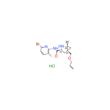 C=CCOC[C@@]12C[C@@H](C(=O)Nc3nc(Br)ccc3C)N[C@@H]1C2.Cl